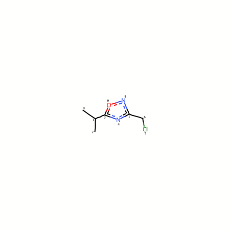 CC(C)c1nc(CCl)no1